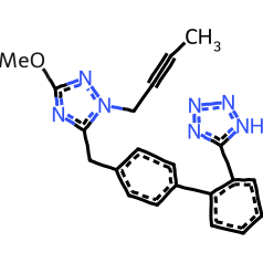 CC#CCn1nc(OC)nc1Cc1ccc(-c2ccccc2-c2nnn[nH]2)cc1